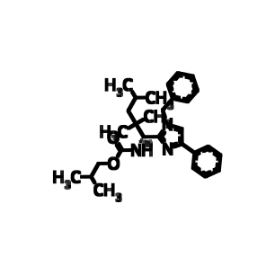 CC(C)COC(=O)N[C@@H](c1nc(-c2ccccc2)cn1Cc1ccccc1)C(C)(C)CC(C)C